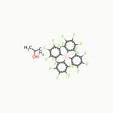 CC(C)O.Fc1c(F)c(F)c([B-](c2c(F)c(F)c(F)c(F)c2F)(c2c(F)c(F)c(F)c(F)c2F)c2c(F)c(F)c(F)c(F)c2F)c(F)c1F